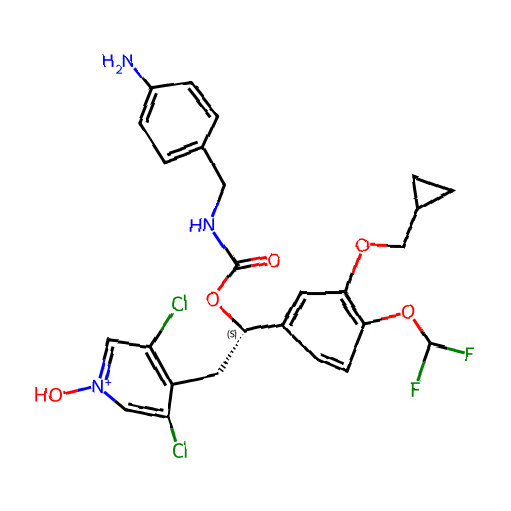 Nc1ccc(CNC(=O)O[C@@H](Cc2c(Cl)c[n+](O)cc2Cl)c2ccc(OC(F)F)c(OCC3CC3)c2)cc1